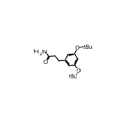 CC(C)(C)Oc1cc(CCC(N)=O)cc(OC(C)(C)C)c1